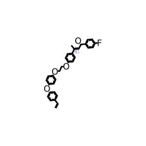 C=Cc1ccc(Oc2ccc(OCCOc3ccc(/C(C)=C/C(=O)c4ccc(F)cc4)cc3)cc2)cc1